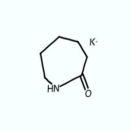 O=C1CCCCCN1.[K]